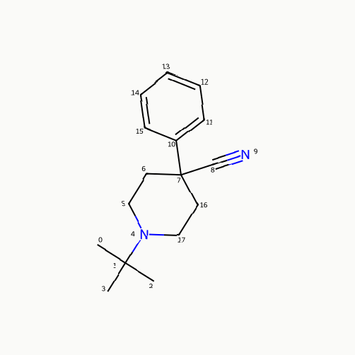 CC(C)(C)N1CCC(C#N)(c2ccccc2)CC1